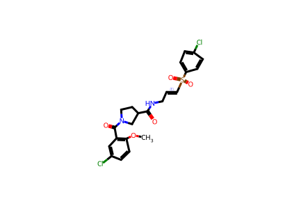 COc1ccc(Cl)cc1C(=O)N1CCC(C(=O)NC/C=C/S(=O)(=O)c2ccc(Cl)cc2)C1